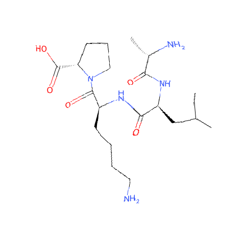 CC(C)C[C@H](NC(=O)[C@H](C)N)C(=O)N[C@@H](CCCCN)C(=O)N1CCC[C@H]1C(=O)O